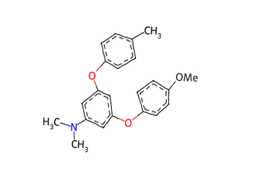 COc1ccc(Oc2cc(Oc3ccc(C)cc3)cc(N(C)C)c2)cc1